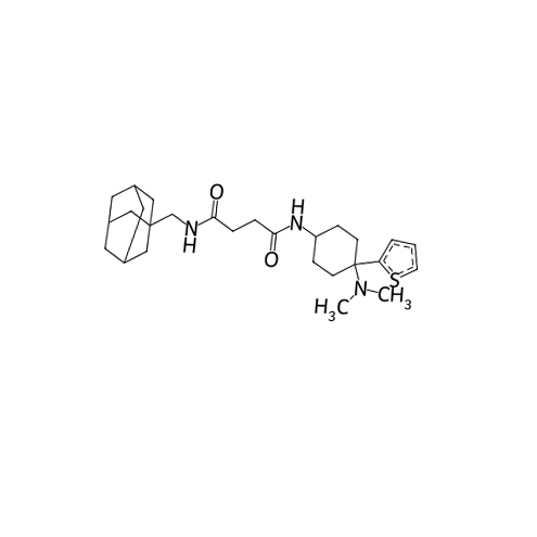 CN(C)C1(c2cccs2)CCC(NC(=O)CCC(=O)NCC23CC4CC(CC(C4)C2)C3)CC1